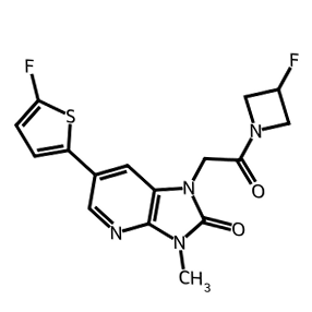 Cn1c(=O)n(CC(=O)N2CC(F)C2)c2cc(-c3ccc(F)s3)cnc21